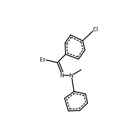 CCC(=NN(C)c1ccccc1)c1ccc(Cl)cc1